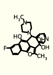 Cc1oc2c(c1C(O)O)c(C(c1ccncc1)N1CCN(C)CC1)c(O)c1cc(F)ccc12